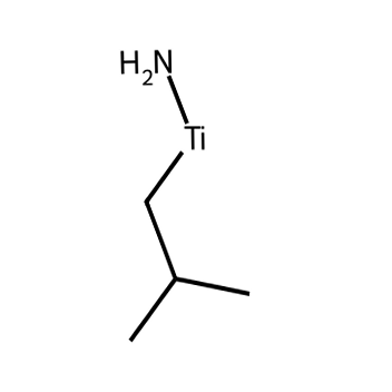 CC(C)[CH2][Ti][NH2]